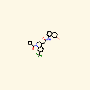 O=C(C=C1CCN(C(=O)C2CCC2)c2cc(C(F)(F)F)ccc21)Nc1cccc2c1CC(O)CC2